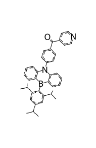 CC(C)c1cc(C(C)C)c(B2c3ccccc3N(c3ccc(C(=O)c4ccncc4)cc3)c3ccccc32)c(C(C)C)c1